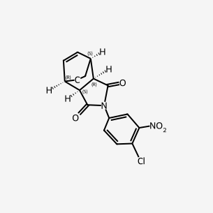 O=C1[C@@H]2[C@H](C(=O)N1c1ccc(Cl)c([N+](=O)[O-])c1)[C@@H]1C=C[C@H]2CC1